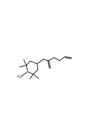 C=CCCC(=C)CC1CC(C)(C)N(N)C(C)(C)C1